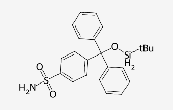 CC(C)(C)[SiH2]OC(c1ccccc1)(c1ccccc1)c1ccc(S(N)(=O)=O)cc1